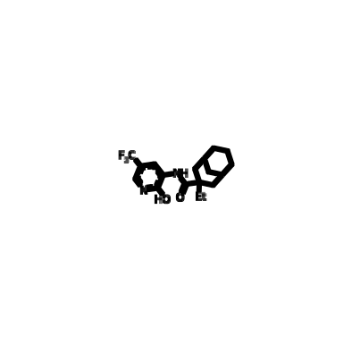 CCC1(C(=O)Nc2cc(C(F)(F)F)cnc2O)CC2CCCC(C2)C1